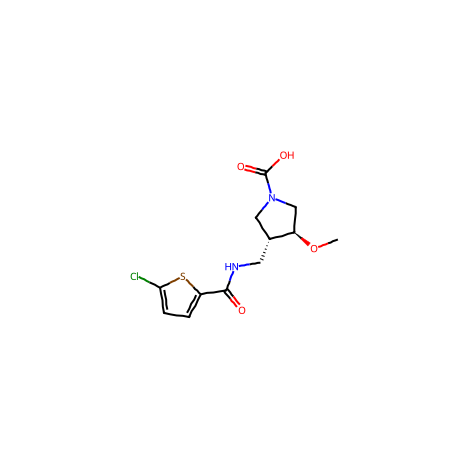 CO[C@@H]1CN(C(=O)O)C[C@H]1CNC(=O)c1ccc(Cl)s1